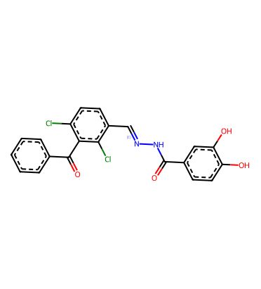 O=C(N/N=C/c1ccc(Cl)c(C(=O)c2ccccc2)c1Cl)c1ccc(O)c(O)c1